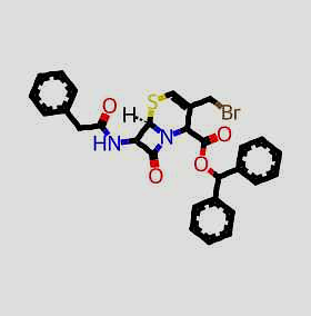 O=C(Cc1ccccc1)NC1C(=O)N2C(C(=O)OC(c3ccccc3)c3ccccc3)C(CBr)=CS[C@H]12